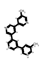 Cc1cncc(-c2cncc(-c3cncc(-c4cncc(C)c4)c3)c2)c1